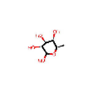 C[C@H]1O[C](O)[C@@H](O)[C@@H](O)[C@H]1O